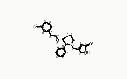 O=C1C=C(CN2CCO[C@@H](OCCc3cccc(Br)c3)[C@@H]2c2ccccc2)CN1